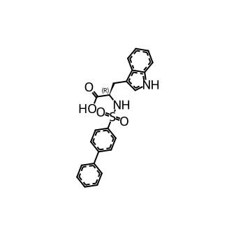 O=C(O)[C@@H](Cc1c[nH]c2ccccc12)NS(=O)(=O)c1ccc(-c2ccccc2)cc1